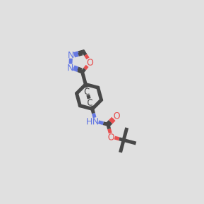 CC(C)(C)OC(=O)NC12CCC(c3nnco3)(CC1)CC2